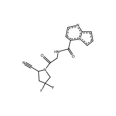 N#CC1CC(F)(F)CN1C(=O)CNC(=O)c1ccnc2cccn12